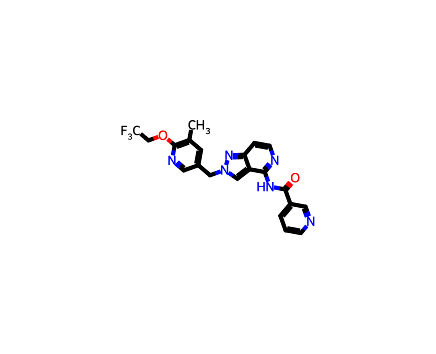 Cc1cc(Cn2cc3c(NC(=O)c4cccnc4)nccc3n2)cnc1OCC(F)(F)F